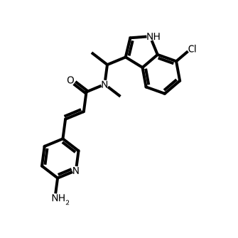 CC(c1c[nH]c2c(Cl)cccc12)N(C)C(=O)C=Cc1ccc(N)nc1